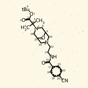 CC(C)(C)OC(=O)C(C)(C)N1CC2CN(CCNC(=O)c3ccc(C#N)cc3)CC(C1)O2